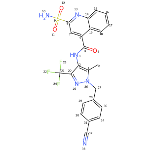 Cc1c(NC(=O)c2cc(S(N)(=O)=O)nc3ccccc23)c(C(F)(F)F)nn1Cc1ccc(C#N)cc1